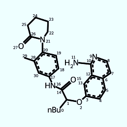 CCCCC(Oc1ccc2ccnc(N)c2c1)C(=O)Nc1ccc(N2CCCCC2=O)c(C)c1